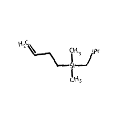 C=CCC[Si](C)(C)CC(C)C